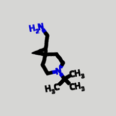 CC(C)(C)N1CCC2(CC1)CC2CN